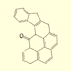 O=C1C2C=CCc3ccc4ccc5c(c4c32)C1C1=C(Cc2ccccc21)C5